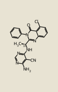 C[C@H](Nc1ncnc(N)c1C#N)c1nc2cccc(Cl)c2c(=O)n1-c1ccccc1